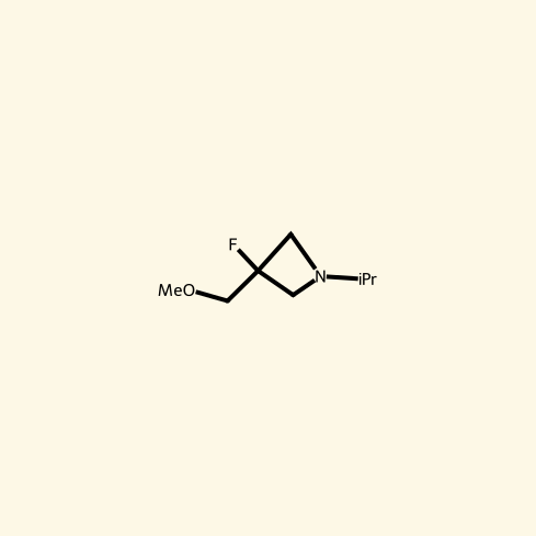 COCC1(F)CN(C(C)C)C1